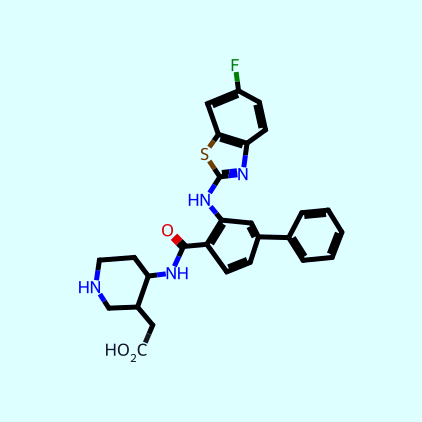 O=C(O)CC1CNCCC1NC(=O)c1ccc(-c2ccccc2)cc1Nc1nc2ccc(F)cc2s1